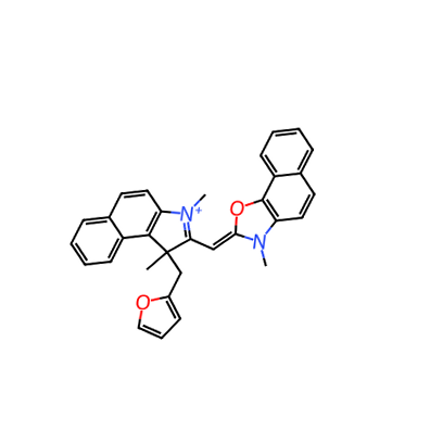 CN1/C(=C/C2=[N+](C)c3ccc4ccccc4c3C2(C)Cc2ccco2)Oc2c1ccc1ccccc21